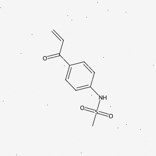 C=CC(=O)c1ccc(NS(C)(=O)=O)cc1